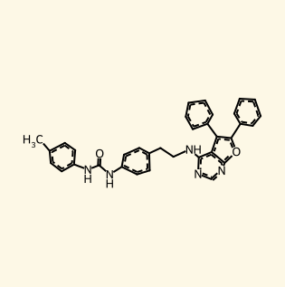 Cc1ccc(NC(=O)Nc2ccc(CCNc3ncnc4oc(-c5ccccc5)c(-c5ccccc5)c34)cc2)cc1